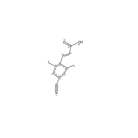 Cc1cc(C#N)cc(C)c1C=CC(=O)O